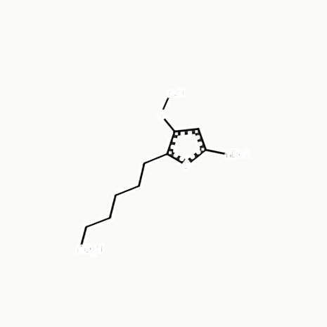 CCCCCCCCCCc1cc(SCCCC)c(CCCCCC(=O)O)s1